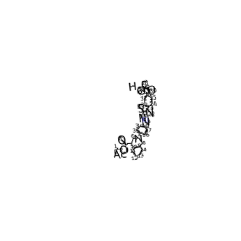 CC(=O)COC(=O)CCN(Cc1ccccc1)c1ccc(/N=N/c2nc3ccc(S(C)(=O)=O)cc3s2)cc1